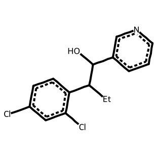 CCC(c1ccc(Cl)cc1Cl)C(O)c1cccnc1